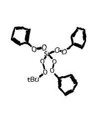 CC(C)(C)OO[Si](OOc1ccccc1)(OOc1ccccc1)OOc1ccccc1